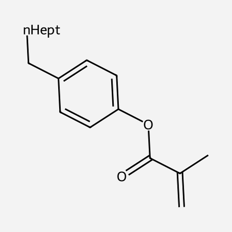 C=C(C)C(=O)Oc1ccc(CCCCCCCC)cc1